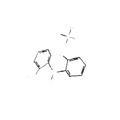 CC[N+](CC)(CC)CC.O=C([O-])c1ccccc1[S+]([O-])c1ccccc1C(=O)O